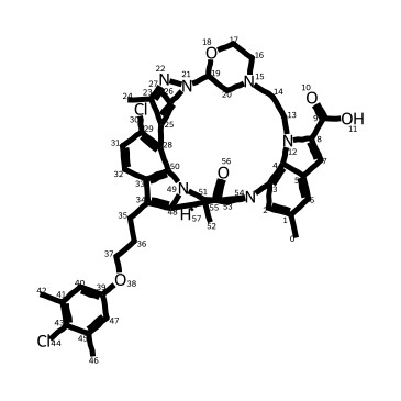 Cc1cc2c3c(c1)cc(C(=O)O)n3CCN1CCOC(C1)n1nc(C)c(c1C)-c1c(Cl)ccc3c(CCCOc4cc(C)c(Cl)c(C)c4)c4n(c13)[C@H](C)CN2C4=O